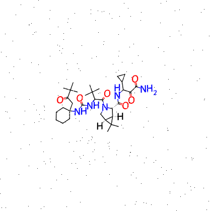 CC(C)(C)C(=O)CC1(NC(=O)N[C@H](C(=O)N2C[C@H]3[C@@H]([C@H]2C(=O)NC(C(=O)C(N)=O)C2CC2)C3(C)C)C(C)(C)C)CCCCC1